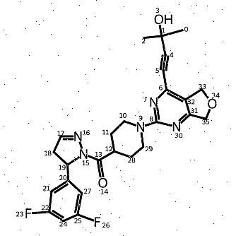 CC(C)(O)C#Cc1nc(N2CCC(C(=O)N3N=CCC3c3cc(F)cc(F)c3)CC2)nc2c1COC2